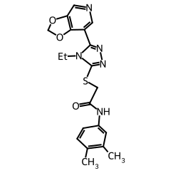 CCn1c(SCC(=O)Nc2ccc(C)c(C)c2)nnc1-c1cncc2c1OCO2